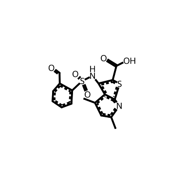 Cc1cc(C)c2c(NS(=O)(=O)c3ccccc3C=O)c(C(=O)O)sc2n1